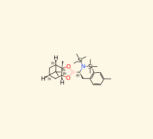 Cc1ccc(C[C@@H](B2O[C@@H]3C[C@@H]4C[C@@H](C4(C)C)[C@]3(C)O2)N([Si](C)(C)C)[Si](C)(C)C)c(C)c1